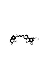 Cc1cc(Cl)c(Cl)c(N2CCN(CCCCOc3ccc4c(c3)NC(=O)CC4)CC2)c1